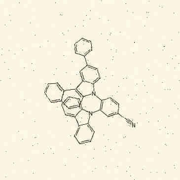 N#Cc1ccc(-n2c3ccc(-c4ccccc4)cc3c3c4ccccc4ccc32)c(-n2c3ccccc3c3ccccc32)c1